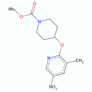 Cc1cc([N+](=O)[O-])cnc1OC1CCN(C(=O)OC(C)(C)C)CC1